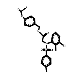 Cc1ccc(S(=O)(=O)N(CC(=O)NCc2ccc(OC(F)F)cc2)c2cccc(Cl)c2C)cc1